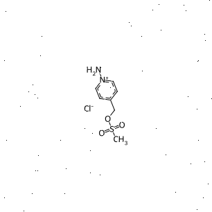 CS(=O)(=O)OCc1cc[n+](N)cc1.[Cl-]